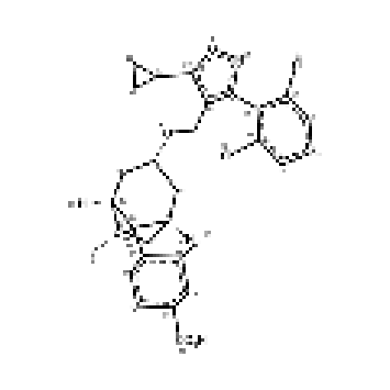 C[C@H]1C[C@@H]2C[C@@H](OCc3c(-c4c(Cl)cccc4Cl)noc3C3CC3)C[C@H]1[C@]2(O)c1ccc(C(=O)O)cc1F